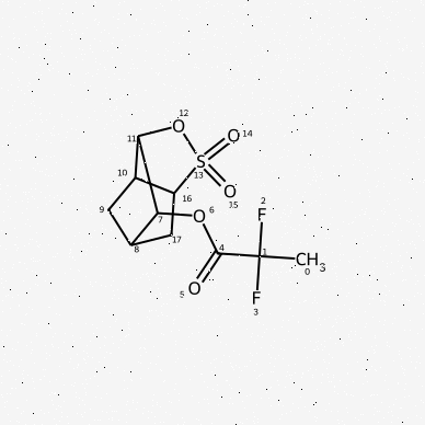 CC(F)(F)C(=O)OC1C2CC3C1OS(=O)(=O)C3C2